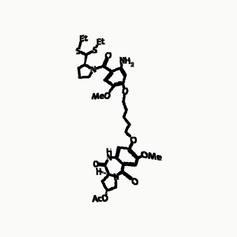 CCSC(SCC)[C@@H]1CCCN1C(=O)c1cc(OC)c(OCCCCCOc2cc3c(cc2OC)C(=O)N2C[C@H](OC(C)=O)C[C@H]2C(=O)N3)cc1N